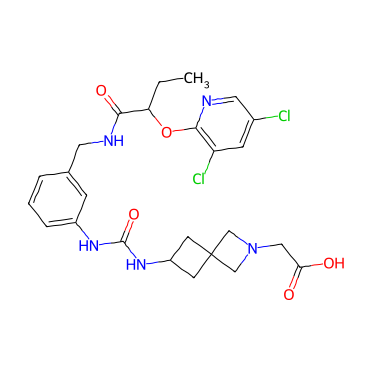 CCC(Oc1ncc(Cl)cc1Cl)C(=O)NCc1cccc(NC(=O)NC2CC3(C2)CN(CC(=O)O)C3)c1